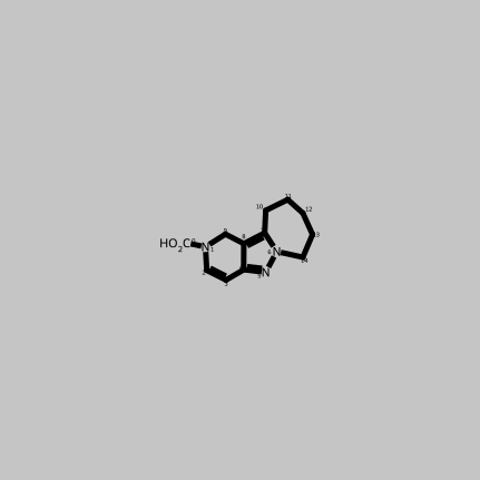 O=C(O)N1C=Cc2nn3c(c2C1)CCCCC3